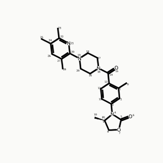 Cc1cc(N2C(=O)OC[C@H]2C)ccc1C(=O)N1CCN(c2nc(C)c(C)cc2C)CC1